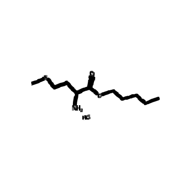 CCCCCOC(=O)C(N)CCSC.Cl